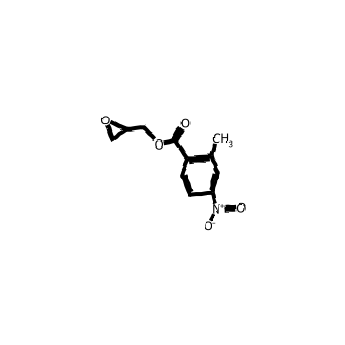 Cc1cc([N+](=O)[O-])ccc1C(=O)OCC1CO1